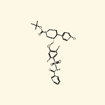 CC(C)(C)OC(=O)N1CCC(c2ccc(Cl)cc2)[C@H](COc2cc(F)c(S(=O)(=O)NC(=O)c3ccccc3)cc2F)C1